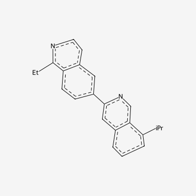 CCc1nccc2cc(-c3cc4cccc(C(C)C)c4cn3)ccc12